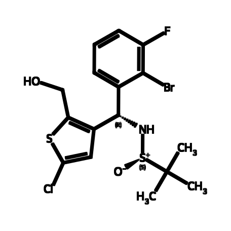 CC(C)(C)[S@@+]([O-])N[C@H](c1cc(Cl)sc1CO)c1cccc(F)c1Br